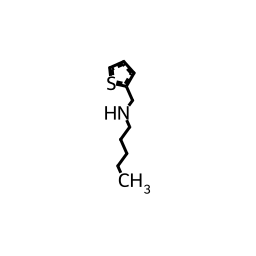 CCCCCNCc1cccs1